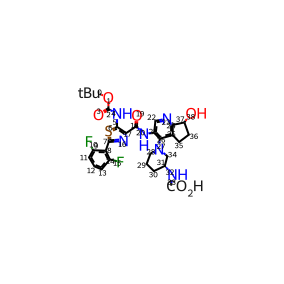 CC(C)(C)OC(=O)Nc1sc(-c2c(F)cccc2F)nc1C(=O)Nc1cnc2c(c1N1CCC[C@H](NC(=O)O)C1)CCC2O